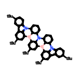 CC(C)(C)c1cc2c3c(c1)B1c4c(cccc4-n4c5ccc(C(C)(C)C)cc5c5cc(C(C)(C)C)cc1c54)N3c1cccc3c1B2c1cc(C(C)(C)C)cc2c4cc(C(C)(C)C)ccc4n-3c12